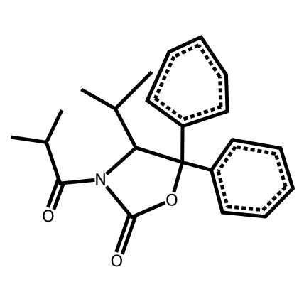 CC(C)C(=O)N1C(=O)OC(c2ccccc2)(c2ccccc2)C1C(C)C